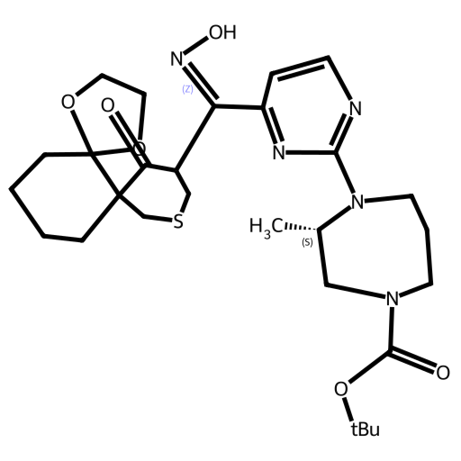 C[C@H]1CN(C(=O)OC(C)(C)C)CCCN1c1nccc(/C(=N\O)C2CSCC3(CCCCC34OCCO4)C2=O)n1